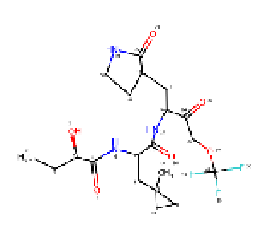 CC[C@@H](O)C(=O)NC(CC1(C)CC1)C(=O)NC(CC1CCNC1=O)C(=O)COC(F)(F)F